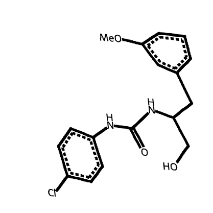 COc1cccc(CC(CO)NC(=O)Nc2ccc(Cl)cc2)c1